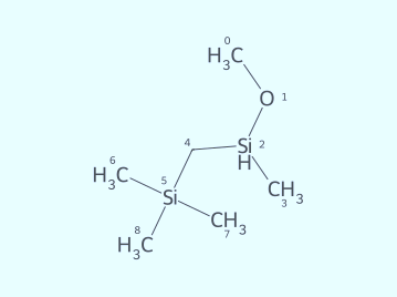 CO[SiH](C)C[Si](C)(C)C